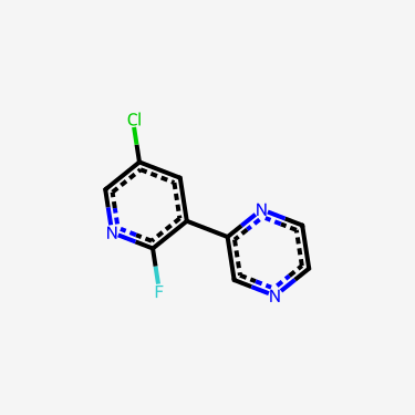 Fc1ncc(Cl)cc1-c1cnccn1